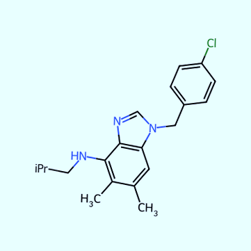 Cc1cc2c(ncn2Cc2ccc(Cl)cc2)c(NCC(C)C)c1C